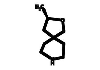 C[C@@H]1CC2(CCNCC2)CO1